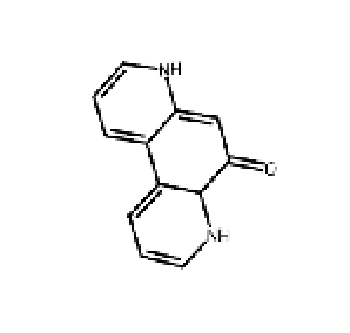 O=C1C=C2NC=CC=C2C2=CC=CNC12